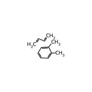 C=CC=C.Cc1ccccc1C